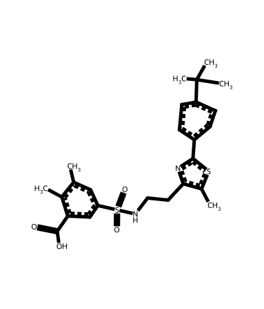 Cc1cc(S(=O)(=O)NCCc2nc(-c3ccc(C(C)(C)C)cc3)sc2C)cc(C(=O)O)c1C